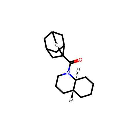 O=C(N1CCC[C@H]2CCCC[C@@H]21)C12CC3CC(CC1C3)C2